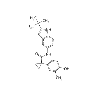 Cc1cc(C2(C(=O)Nc3ccc4[nH]c(C(C)(C)C)cc4c3)CC2)ccc1O